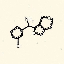 NC(c1cccc(Cl)c1)c1occ2ccccc12